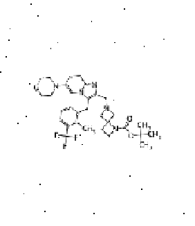 Cc1c(Cc2c(CN3CC4(CCN4C(=O)OC(C)(C)C)C3)nc3ccc(N4CCOCC4)cn23)cccc1C(F)(F)F